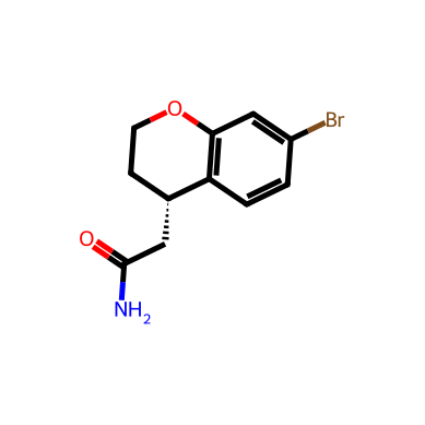 NC(=O)C[C@@H]1CCOc2cc(Br)ccc21